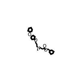 CN(CCCOc1ccc(Oc2ccccc2)cc1)CCC(=O)OCc1ccccc1